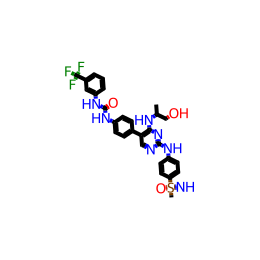 CC(CO)Nc1nc(Nc2ccc(S(C)(=N)=O)cc2)ncc1-c1ccc(NC(=O)Nc2cccc(C(F)(F)F)c2)cc1